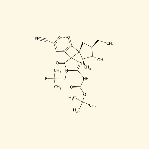 CC[C@@H]1C[C@@]2(c3ccc(C#N)cc3C23N=C(NC(=O)OC(C)(C)C)N(CC(C)(C)F)C3=O)[C@H](C)[C@H]1O